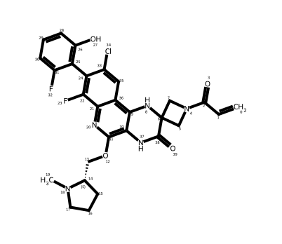 C=CC(=O)N1CC2(C1)Nc1c(c(OC[C@@H]3CCCN3C)nc3c(F)c(-c4c(O)cccc4F)c(Cl)cc13)NC2=O